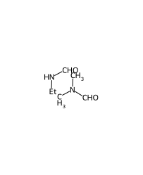 CCNC=O.CN(C)C=O